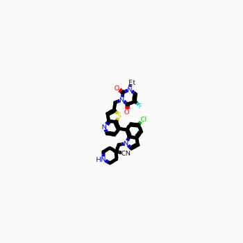 CCn1cc(F)c(=O)n(Cc2cc3nccc(-c4cc(Cl)cc5ccn(CC6(C#N)CCNCC6)c45)c3s2)c1=O